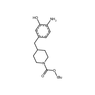 CC(C)(C)OC(=O)N1CCC(Cc2ccc(N)c(O)c2)CC1